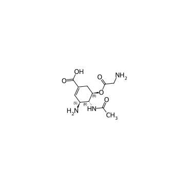 CC(=O)N[C@@H]1[C@@H](N)C=C(C(=O)O)C[C@H]1OC(=O)CN